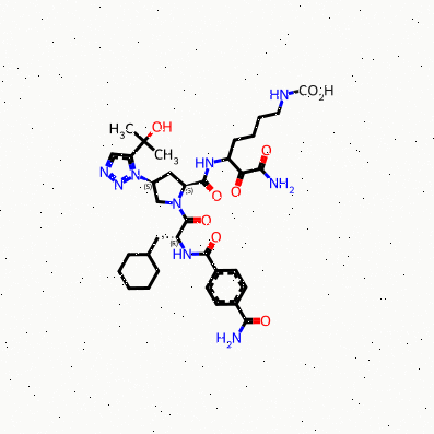 CC(C)(O)c1cnnn1[C@H]1C[C@@H](C(=O)NC(CCCCNC(=O)O)C(=O)C(N)=O)N(C(=O)[C@@H](CC2CCCCC2)NC(=O)c2ccc(C(N)=O)cc2)C1